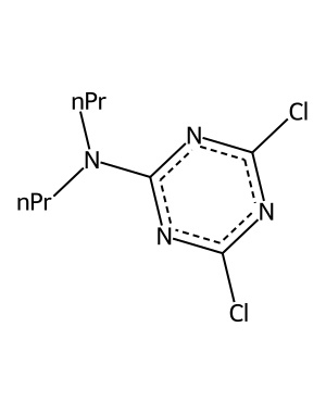 CCCN(CCC)c1nc(Cl)nc(Cl)n1